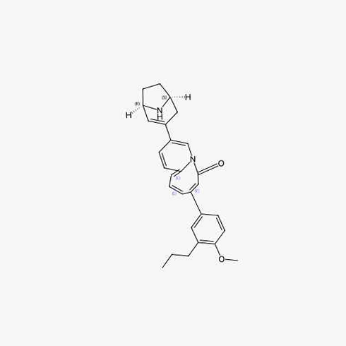 CCCc1cc(C2=C\C(=O)N3C=C(C4=C[C@H]5CC[C@@H](C4)N5)C=C\C3=C/C=C/2)ccc1OC